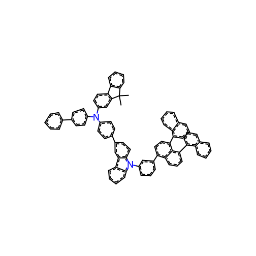 CC1(C)c2ccccc2-c2ccc(N(c3ccc(-c4ccccc4)cc3)c3ccc(-c4ccc5c(c4)c4ccccc4n5-c4cccc(-c5ccc(-c6cccc7ccccc67)c6c(-c7cccc8ccccc78)cccc56)c4)cc3)cc21